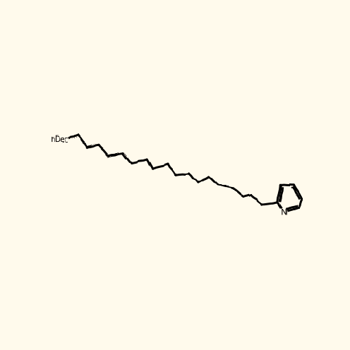 CCCCCCCCCCCCCCCCCCCCCCCCCCCCc1ccccn1